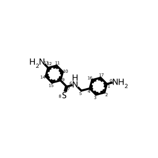 Nc1ccc(CNC(=S)c2ccc(N)cc2)cc1